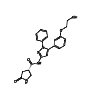 CC(C)(C)CCOc1cccc(-c2cc(NC(=O)[C@@H]3CNC(=O)C3)nn2-c2ccccc2)c1